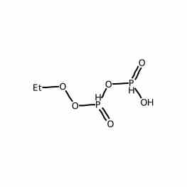 CCOO[PH](=O)O[PH](=O)O